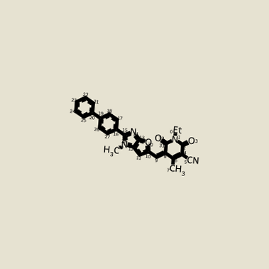 CCN1C(=O)C(C#N)=C(C)/C(=C/c2cc3c(nc(-c4ccc(-c5ccccc5)cc4)n3C)o2)C1=O